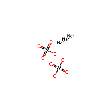 [Na+].[Na+].[Na+].[O]=[Re](=[O])(=[O])[O-].[O]=[W](=[O])([O-])[O-]